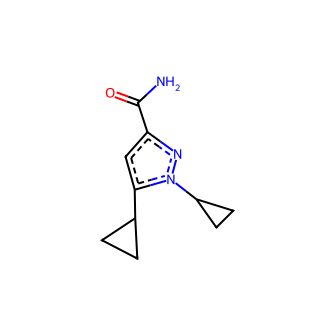 NC(=O)c1cc(C2CC2)n(C2CC2)n1